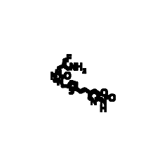 NC/C(=C\F)Cn1ncn(Cc2ccc(/C=C/c3cnc4[nH]c(=O)oc4c3)s2)c1=O